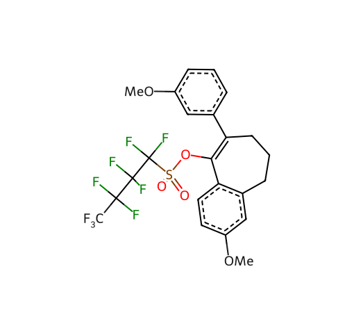 COc1cccc(C2=C(OS(=O)(=O)C(F)(F)C(F)(F)C(F)(F)C(F)(F)F)c3ccc(OC)cc3CCC2)c1